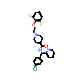 O=C(N[C@@H](c1ccc(Cl)cc1)c1ccccn1)C1CCN(CCOc2c(F)cccc2F)CC1